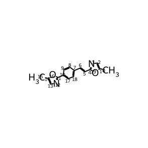 Cc1cnc(C=Cc2ccc(-c3ncc(C)o3)cc2)o1